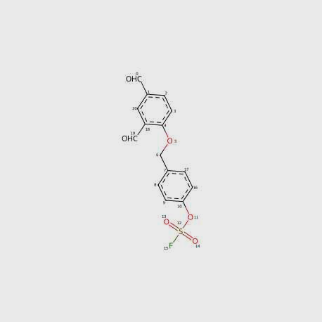 O=Cc1ccc(OCc2ccc(OS(=O)(=O)F)cc2)c(C=O)c1